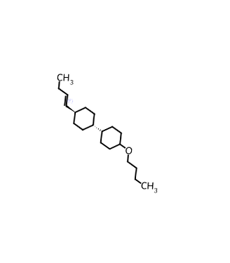 CC/C=C/[C@H]1CC[C@H](C2CCC(OCCCC)CC2)CC1